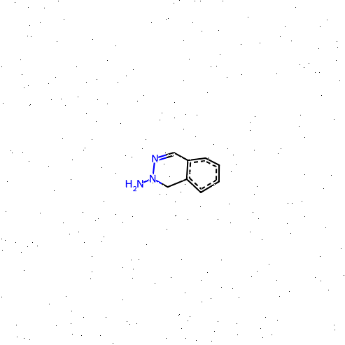 NN1Cc2ccc[c]c2C=N1